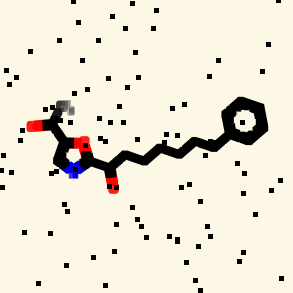 O=C(CCCCCCc1ccccc1)c1ncc(C(=O)C(F)(F)F)o1